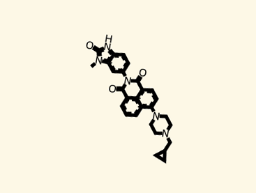 Cn1c(=O)[nH]c2ccc(N3C(=O)c4cccc5c(N6CCN(CC7CC7)CC6)ccc(c45)C3=O)cc21